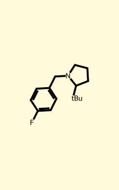 CC(C)(C)C1CCCN1Cc1ccc(F)cc1